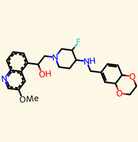 COc1cnc2cccc(C(O)CN3CCC(NCC4=CC5OCCOC5C=C4)C(F)C3)c2c1